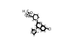 CS(=O)(=O)NC1CCCN(c2cc(-n3ccnc3)c3ccc(Cl)cc3n2)C1